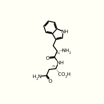 NC(=O)C[C@H](NC(=O)[C@@H](N)Cc1c[nH]c2ccccc12)C(=O)O